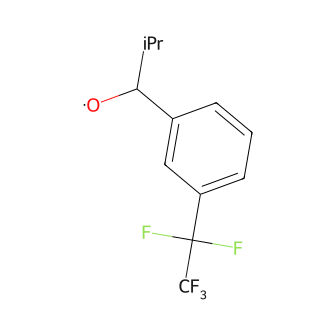 CC(C)C([O])c1cccc(C(F)(F)C(F)(F)F)c1